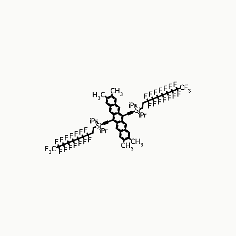 Cc1cc2cc3c(C#C[Si](CCC(F)(F)C(F)(F)C(F)(F)C(F)(F)C(F)(F)C(F)(F)C(F)(F)C(F)(F)F)(C(C)C)C(C)C)c4cc5cc(C)c(C)cc5cc4c(C#C[Si](CCC(F)(F)C(F)(F)C(F)(F)C(F)(F)C(F)(F)C(F)(F)C(F)(F)C(F)(F)F)(C(C)C)C(C)C)c3cc2cc1C